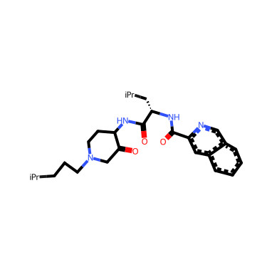 CC(C)CCCN1CCC(NC(=O)[C@H](CC(C)C)NC(=O)c2cc3ccccc3cn2)C(=O)C1